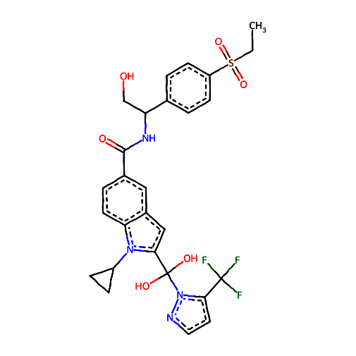 CCS(=O)(=O)c1ccc(C(CO)NC(=O)c2ccc3c(c2)cc(C(O)(O)n2nccc2C(F)(F)F)n3C2CC2)cc1